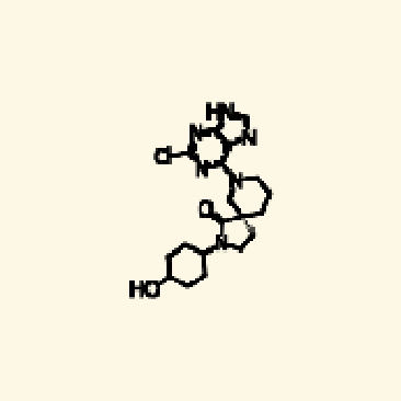 O=C1N(C2CCC(O)CC2)CC[C@]12CCCN(c1nc(Cl)nc3[nH]cnc13)C2